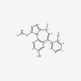 CNCc1cnc2n1-c1ccc(Cl)cc1C(c1ccccc1Cl)=NC2C